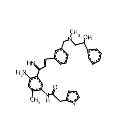 Cc1cc(N)c(C(=N)/C=C/c2cccc(CN(C)CC(O)c3ccccc3)c2)cc1NC(=O)Cc1cccs1